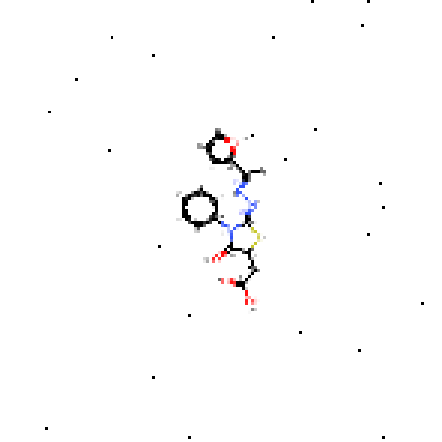 C/C(=N\N=C1\SC(CC(=O)O)C(=O)N1c1ccccc1)c1ccco1